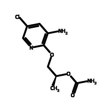 C[C@@H](COc1ncc(Cl)cc1N)OC(N)=O